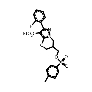 CCOC(=O)c1c(-c2ccccc2F)nn2c1OCC(COS(=O)(=O)c1ccc(C)cc1)C2